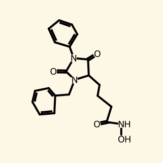 O=C(CCCC1C(=O)N(c2ccccc2)C(=O)N1Cc1ccccc1)NO